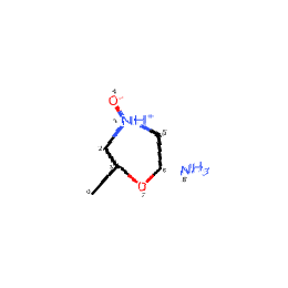 CC1C[NH+]([O-])CCO1.N